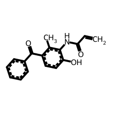 C=CC(=O)Nc1c(O)ccc(C(=O)c2ccccc2)c1C